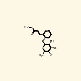 COC(=O)CC[C@H]1CCC[CH][C@H]1O[C@@H]1O[C@H](C)[C@H](O)[C@H](O)[C@H]1O